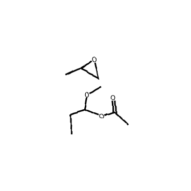 CC1CO1.CCC(OC)OC(C)=O